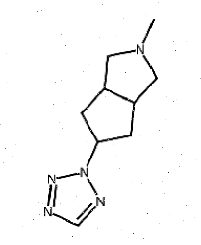 CN1CC2CC(n3ncnn3)CC2C1